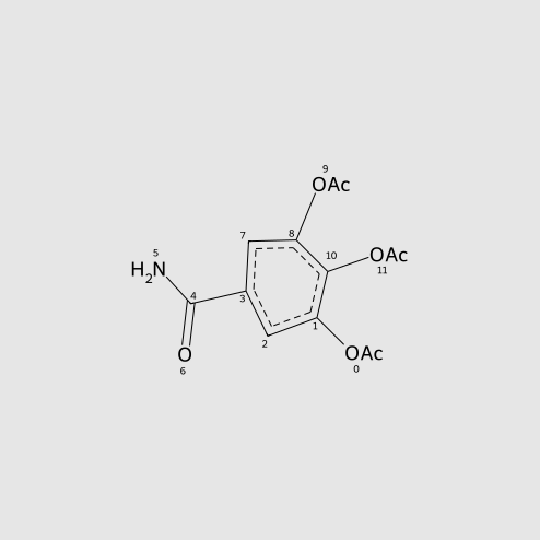 CC(=O)Oc1cc(C(N)=O)cc(OC(C)=O)c1OC(C)=O